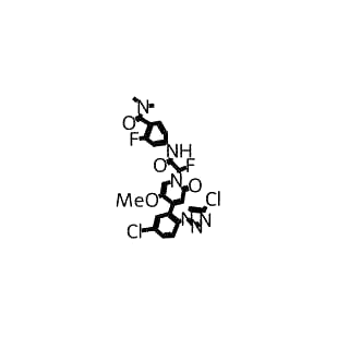 COc1cn(C(F)C(=O)Nc2ccc(C(=O)N(C)C)c(F)c2)c(=O)cc1-c1cc(Cl)ccc1-n1cc(Cl)nn1